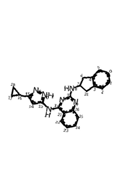 c1ccc2c(c1)CC(Nc1nc(Nc3cc(C4CC4)n[nH]3)c3ccccc3n1)C2